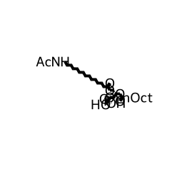 CCCCCCCCC(=O)O[C@@H](COC(=O)CCCCCCCCCCCCCNC(C)=O)COP(=O)(O)O